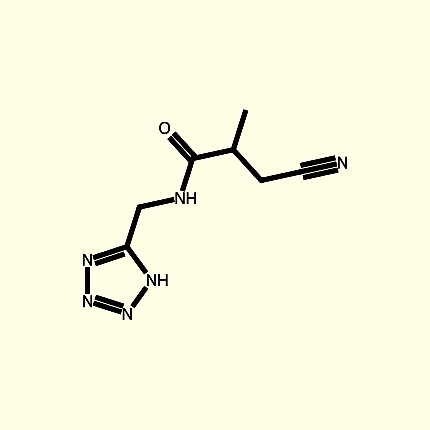 CC(CC#N)C(=O)NCc1nnn[nH]1